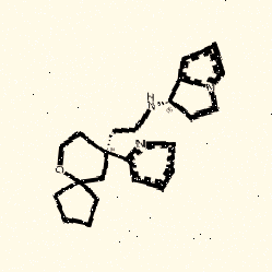 c1ccc([C@]2(CCN[C@H]3CCn4cccc43)CCOC3(CCCC3)C2)nc1